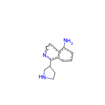 Nc1cccc2c(C3CCNC3)nccc12